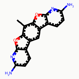 Cc1c2oc3nc(N)ccc3c2cc2c1oc1nc(N)ccc12